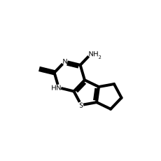 C=C1N=C(N)c2c(sc3c2CCC3)N1